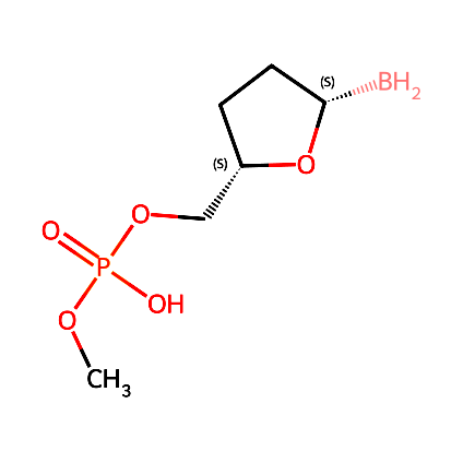 B[C@H]1CC[C@@H](COP(=O)(O)OC)O1